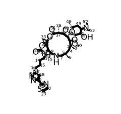 CO[C@]1(C)C[C@@H](C)CN[C@H](C)[C@H]2N(CCCCn3cc(-c4nccs4)nn3)C(=O)O[C@]2(C)[C@@H](C)OC(=O)[C@H](C)C(=O)[C@H](C)[C@H]1O[C@@H]1O[C@H](C)CC(N(C)C)C1O